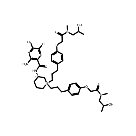 CC(O)CN(C)C(=O)COc1ccc(CCC[N+]2(CCCc3ccc(OCC(=O)N(C)CC(C)O)cc3)CCC[C@H](NC(=O)c3nc(Cl)c(N)nc3N)C2)cc1